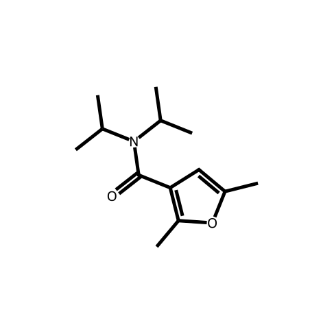 Cc1cc(C(=O)N(C(C)C)C(C)C)c(C)o1